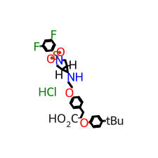 CC(C)(C)c1ccc(O[C@@H](Cc2ccc(OCCN[C@H]3[C@@H]4CN(S(=O)(=O)c5cc(F)cc(F)c5)C[C@@H]43)cc2)C(=O)O)cc1.Cl